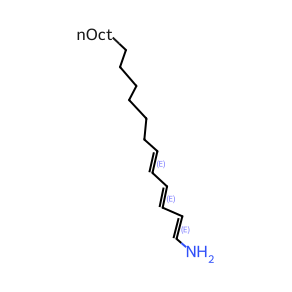 CCCCCCCCCCCCCC/C=C/C=C/C=C/N